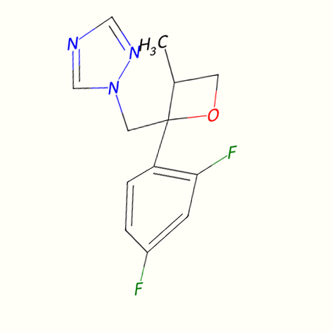 CC1COC1(Cn1cncn1)c1ccc(F)cc1F